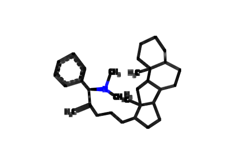 C=C(CCCC1CCC2C3CCC4CCCCC4(C)C3CC12C)[C@@H](c1ccccc1)N(C)C